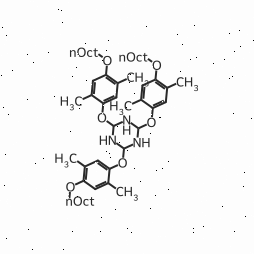 CCCCCCCCOc1cc(C)c(OC2NC(Oc3cc(C)c(OCCCCCCCC)cc3C)NC(Oc3cc(C)c(OCCCCCCCC)cc3C)N2)cc1C